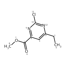 CCc1cc(C(=O)OC)nc(Cl)n1